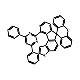 c1ccc(-c2nc(-c3ccccc3)nc(-c3cccc4c3-c3c(ccc5sccc35)C43c4ccccc4Oc4ccccc43)n2)cc1